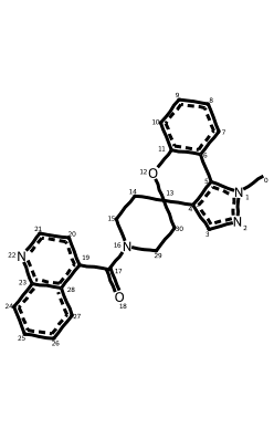 Cn1ncc2c1-c1ccccc1OC21CCN(C(=O)c2ccnc3ccccc23)CC1